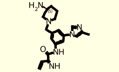 C=CC(=N)C(=O)Nc1cc(CN2CCC[C@H](N)C2)cc(-n2cnc(C)c2)c1